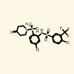 C[PH](O)(c1ccc(Cl)cc1NS(=O)(=O)c1ccc(Cl)c(C(F)(F)F)c1)N1CCC(=O)CC1